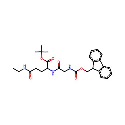 CCNC(=O)CCC(NC(=O)CNC(=O)OCC1c2ccccc2-c2ccccc21)C(=O)OC(C)(C)C